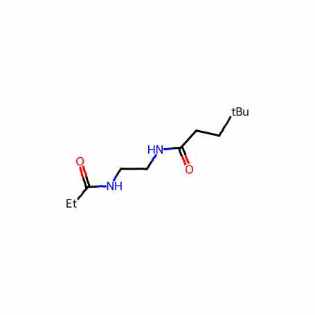 CCC(=O)NCCNC(=O)CCC(C)(C)C